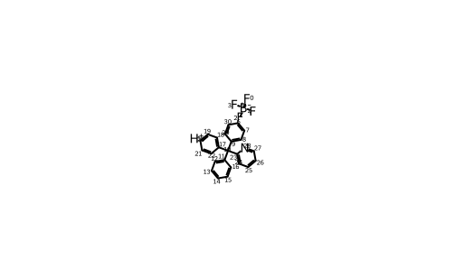 F[B-](F)(F)F.[H+].c1ccc(C(c2ccccc2)(c2ccccc2)c2ccccn2)cc1